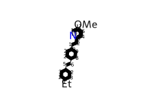 CC[C@H]1CC[C@H](CC[C@H]2CC[C@H](CCc3ccc(OC)cn3)CC2)CC1